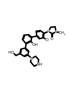 CN1CCN(c2ccc(-c3cccc(-c4cc(CO)cc(N5CCNCC5)c4)c3O)cc2Cl)C1=O